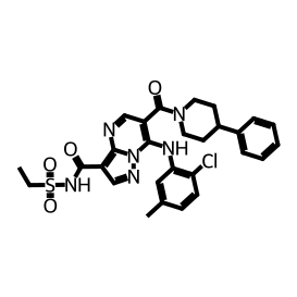 CCS(=O)(=O)NC(=O)c1cnn2c(Nc3cc(C)ccc3Cl)c(C(=O)N3CCC(c4ccccc4)CC3)cnc12